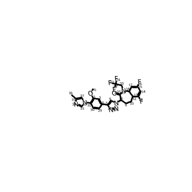 COc1cc(-c2cn(C3CCC4C(F)=CC(F)=CC4N(CC(F)(F)F)C3=O)nn2)ccc1-n1cnc(C)c1